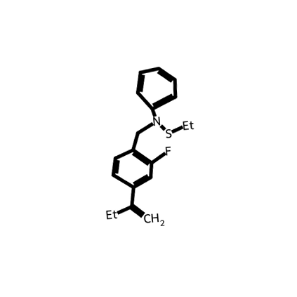 C=C(CC)c1ccc(CN(SCC)c2ccccc2)c(F)c1